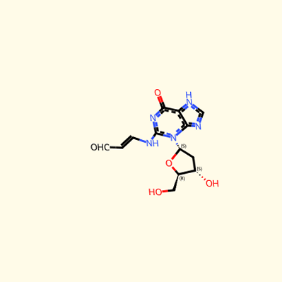 O=CC=CNc1nc(=O)c2[nH]cnc2n1[C@@H]1C[C@H](O)[C@@H](CO)O1